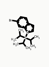 CC(C)S(C(C)C)(C(C)C)n1ccc2ccc(Br)cc21